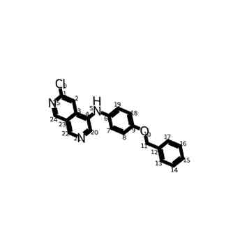 Clc1cc2c(Nc3ccc(OCc4ccccc4)cc3)cncc2cn1